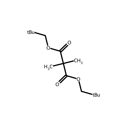 CC(C)(C)COC(=O)C(C)(C)C(=O)OCC(C)(C)C